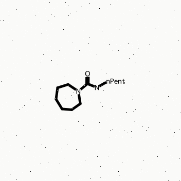 CCCCC[N]C(=O)N1CCCCCC1